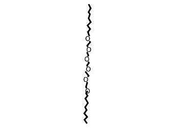 CCCCCCCCCCOCCOCCOCCOCCOCCOCCCCCCCCCC